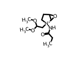 CCC(=O)N[N+]1(CC(OC)OC)CCC2OC21